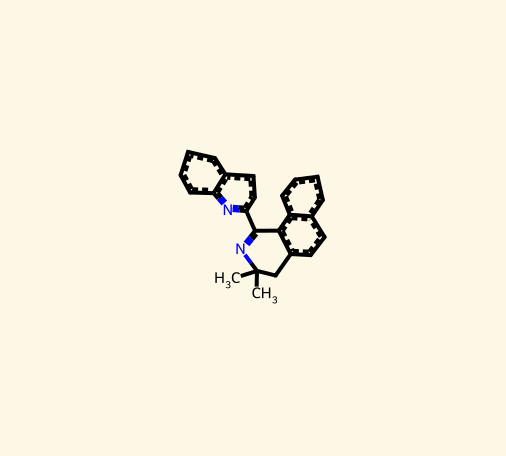 CC1(C)Cc2ccc3ccccc3c2C(c2ccc3ccccc3n2)=N1